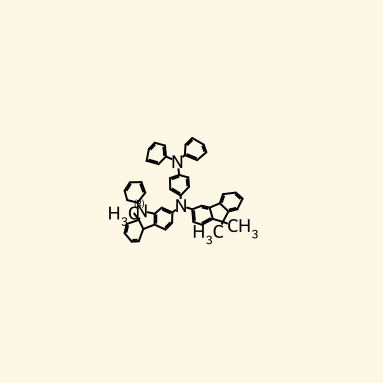 CC1(C)c2ccccc2-c2cc(N(c3ccc(N(c4ccccc4)c4ccccc4)cc3)c3ccc4c(c3)N([C@H]3C=CC=CC3)C3(C)C=CC=CC43)ccc21